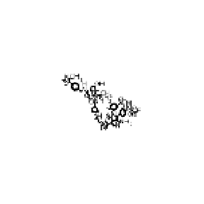 Cc1ncsc1-c1ccc(CNC(=O)[C@@H]2C[C@@H](O)CN2C(=O)[C@@H](NC(=O)c2ccc(OCCn3cc(-c4cnc(N)c5c(-c6ccc(NS(=O)(=O)C(F)F)c(O[C@@H](C)c7ccc(F)cc7)c6)nn(C)c45)cn3)cc2)C(C)(C)C)cc1